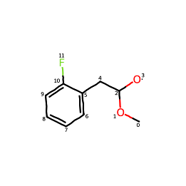 COC([O])Cc1ccccc1F